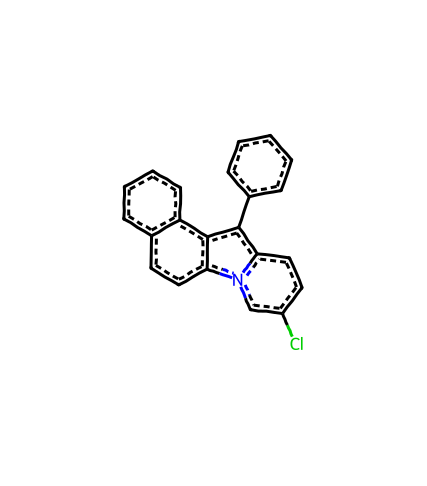 Clc1ccc2c(-c3ccccc3)c3c4ccccc4ccc3n2c1